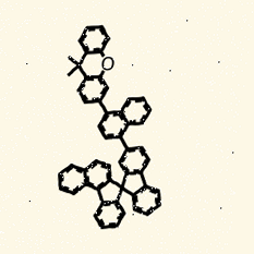 CC1(C)c2ccccc2Oc2cc(-c3ccc(-c4ccc5c(c4)C4(c6ccccc6-5)c5ccccc5-c5c4ccc4ccccc54)c4ccccc34)ccc21